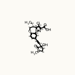 CC[C@H]1COc2ccc(C#CC3(O)CCN(C)C3=O)cc2-n2nc(C(=O)O)c(Cl)c21